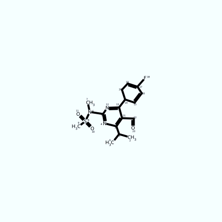 CC(C)c1nc(N(C)S(C)(=O)=O)nc(C2C=CC(F)=CC2)c1C=O